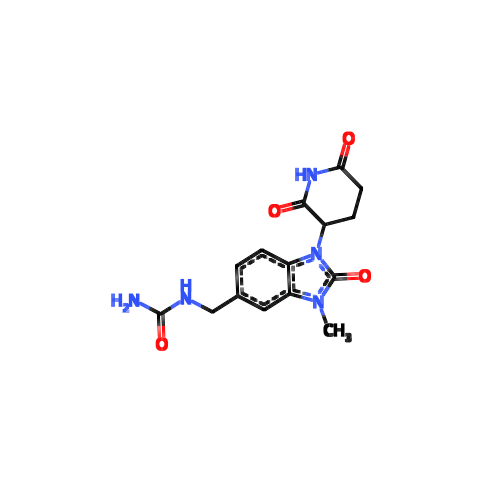 Cn1c(=O)n(C2CCC(=O)NC2=O)c2ccc(CNC(N)=O)cc21